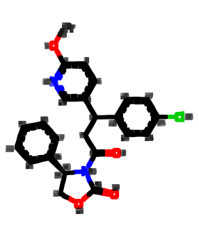 CC(C)Oc1ccc(C(CC(=O)N2C(=O)OC[C@H]2c2ccccc2)c2ccc(Cl)cc2)cn1